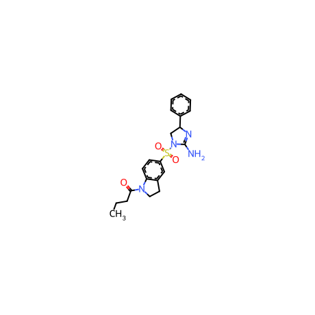 CCCC(=O)N1CCc2cc(S(=O)(=O)N3CC(c4ccccc4)N=C3N)ccc21